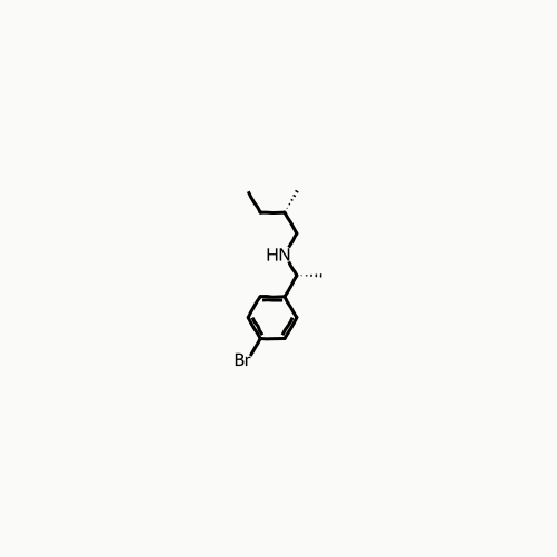 CC[C@H](C)CN[C@H](C)c1ccc(Br)cc1